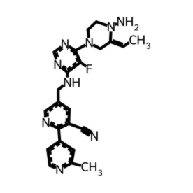 C/C=C1/CN(c2ncnc(NCc3cnc(-c4ccnc(C)c4)c(C#N)c3)c2F)CCN1N